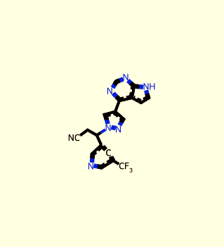 N#CCC(c1cncc(C(F)(F)F)c1)n1cc(-c2ncnc3[nH]ccc23)cn1